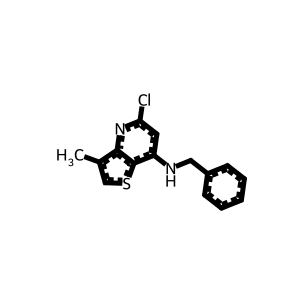 Cc1csc2c(NCc3ccccc3)cc(Cl)nc12